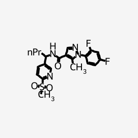 CCCC(NC(=O)c1cnn(-c2ccc(F)cc2F)c1C)c1ccc(S(C)(=O)=O)nc1